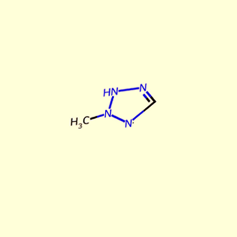 CN1[N]C=NN1